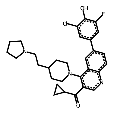 O=C(c1cnc2ccc(-c3cc(F)c(O)c(Cl)c3)cc2c1N1CCC(CCN2CCCC2)CC1)C1CC1